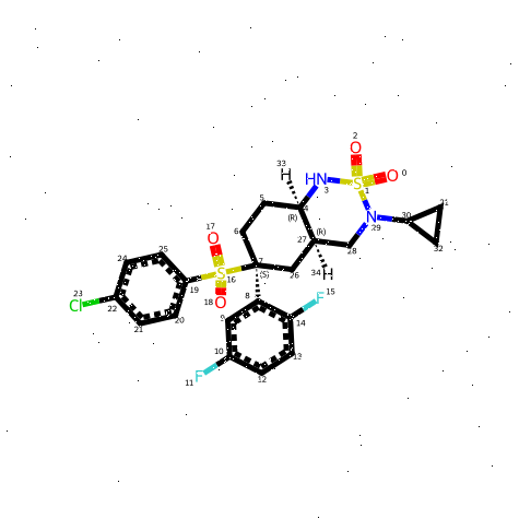 O=S1(=O)N[C@@H]2CC[C@](c3cc(F)ccc3F)(S(=O)(=O)c3ccc(Cl)cc3)C[C@@H]2CN1C1CC1